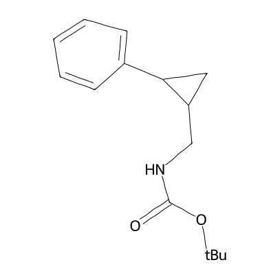 CC(C)(C)OC(=O)NCC1CC1c1ccccc1